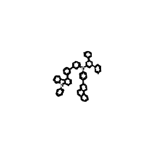 c1ccc(-c2cc(-c3ccccc3)cc(N(c3ccc(-c4ccc5c(ccc6ccccc65)c4)cc3)c3cccc(-c4cccc(-c5cccc6c5c5ccccc5n6-c5ccccc5)c4)c3)c2)cc1